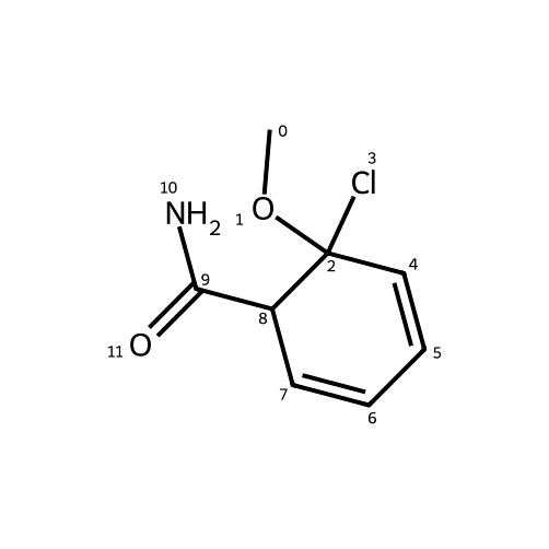 COC1(Cl)C=CC=CC1C(N)=O